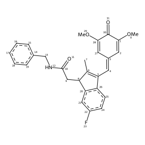 COC1=CC(=CC2=C(C)C(CC(=O)NCc3ccccc3)c3cc(F)ccc32)C=C(OC)C1=O